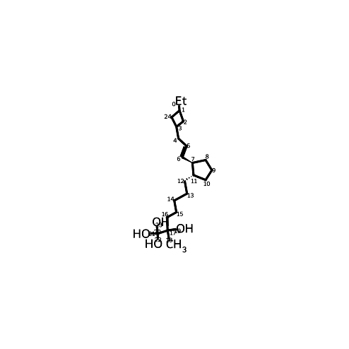 CCC1CC(C/C=C/[C@H]2CCC[C@@H]2CCCCCC(C)(O)C(O)(O)O)C1